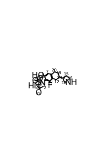 O=C1CN(c2c(O)cc3c(c2F)CC(C2CCNC2)CC3)S(=O)(=O)N1